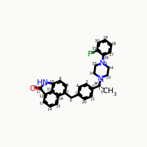 C[C@H](c1ccc(Cc2ccc3c4c(cccc24)C(=O)N3)cc1)N1CCN(c2ccccc2F)CC1